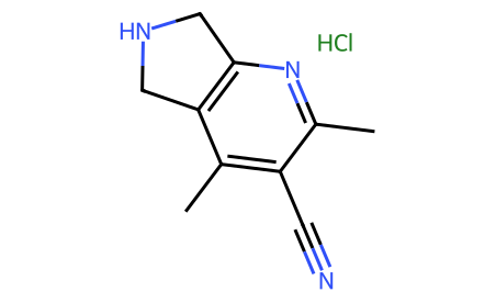 Cc1nc2c(c(C)c1C#N)CNC2.Cl